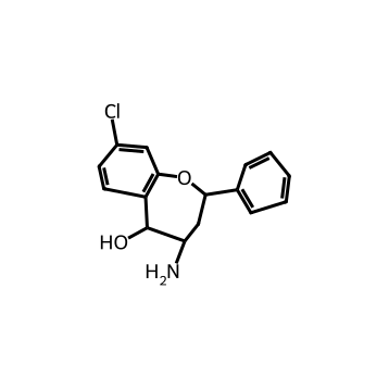 NC1CC(c2ccccc2)Oc2cc(Cl)ccc2C1O